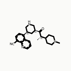 C[C@H](C(=O)[C@@H]1CNC[C@H](c2ccc(C#N)c3ncccc23)C1)C1CCN(C)CC1